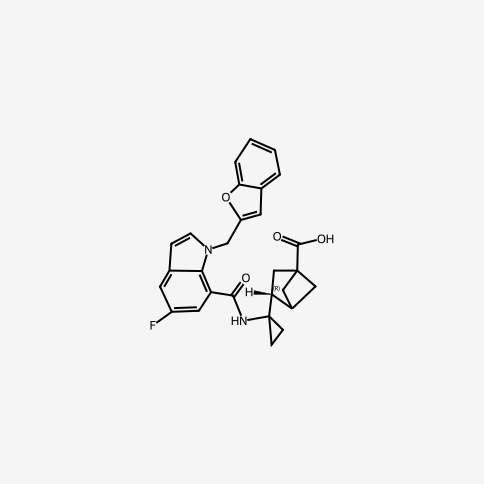 O=C(NC1([C@@H]2CC3(C(=O)O)CC2C3)CC1)c1cc(F)cc2ccn(Cc3cc4ccccc4o3)c12